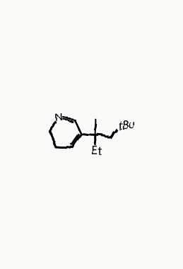 CCC(C)(CC(C)(C)C)C1=CCCN=C1